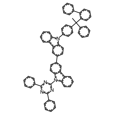 CC(c1ccccc1)(c1ccc(-n2c3ccccc3c3cc(-c4ccc5c(c4)c4ccccc4n5-c4nc(-c5ccccc5)nc(-c5ccccc5)n4)ccc32)cc1)c1ccccc1-c1ccccc1